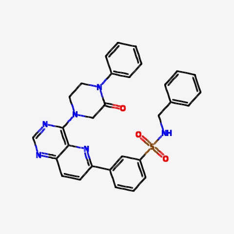 O=C1CN(c2ncnc3ccc(-c4cccc(S(=O)(=O)NCc5ccccc5)c4)nc23)CCN1c1ccccc1